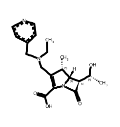 CCN(CC1=C(C(=O)O)N2C(=O)[C@H]([C@@H](C)O)[C@H]2[C@H]1C)Cc1ccncc1